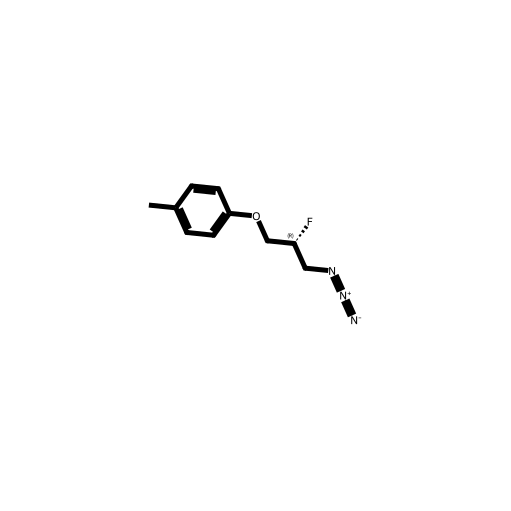 Cc1ccc(OC[C@H](F)CN=[N+]=[N-])cc1